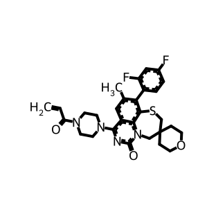 C=CC(=O)N1CCN(c2nc(=O)n3c4c(c(-c5ccc(F)cc5F)c(C)cc24)SCC2(CCOCC2)C3)CC1